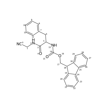 N#CCNC(=O)C(Cc1ccccc1)NC(=O)OCC1c2ccccc2-c2ccccc21